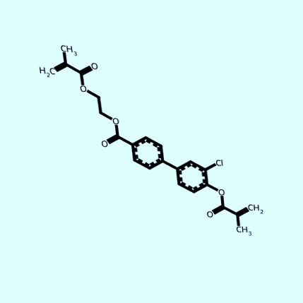 C=C(C)C(=O)OCCOC(=O)c1ccc(-c2ccc(OC(=O)C(=C)C)c(Cl)c2)cc1